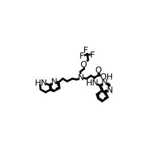 O=C(O)C(CCN(CCCCc1ccc2c(n1)NCCC2)CCOCC(F)(F)F)Nc1ncnc2ccccc12